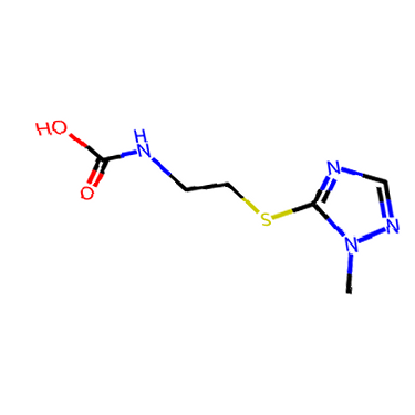 Cn1ncnc1SCCNC(=O)O